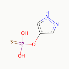 OP(O)(=S)Oc1cn[nH]c1